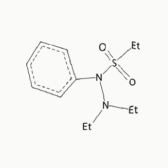 CCN(CC)N(c1ccccc1)S(=O)(=O)CC